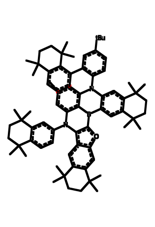 Cc1cc2c3c(c1)N(c1ccc4c(c1)C(C)(C)CCC4(C)C)c1c(oc4cc5c(cc14)C(C)(C)CCC5(C)C)B3c1cc3c(cc1N2c1ccc(C(C)(C)C)cc1-c1cccc2c1C(C)(C)CCC2(C)C)C(C)(C)CCC3(C)C